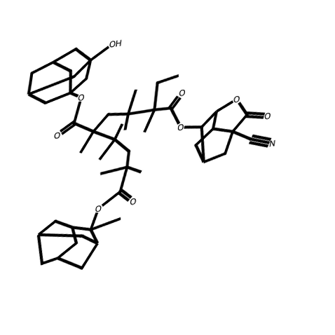 CCC(C)(C(=O)OC1C2CC3C1OC(=O)C3(C#N)C2)C(C)(C)CC(C)(C(=O)OC12CC3CC(CC(O)(C3)C1)C2)C(C)(C)CC(C)(C)C(=O)OC1(C)C2CC3CC(C2)CC1C3